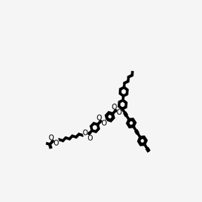 C#Cc1ccc(C#Cc2ccc(C#CC3(OC(=O)c4ccc(OC(=O)C5CCC(C(=O)OCCCCCCCCOC(=O)C(=C)C)CC5)cc4)CCC(C4CCC(CCCCC)CC4)CC3)cc2)cc1